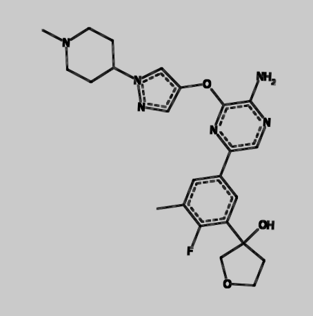 Cc1cc(-c2cnc(N)c(Oc3cnn(C4CCN(C)CC4)c3)n2)cc(C2(O)CCOC2)c1F